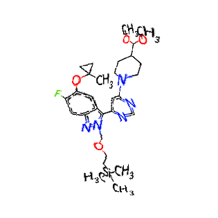 COC(OC)C1CCN(c2cc(-c3c4cc(OC5(C)CC5)c(F)cc4nn3COCC[Si](C)(C)C)ncn2)CC1